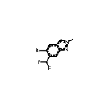 Cn1cc2cc(Br)c(C(F)F)cc2n1